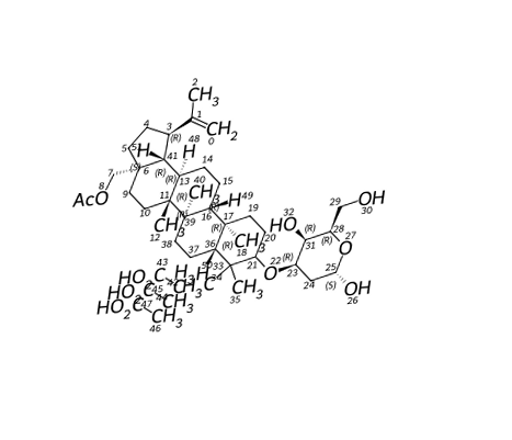 C=C(C)[C@@H]1CC[C@]2(COC(C)=O)CC[C@]3(C)[C@H](CC[C@@H]4[C@@]5(C)CCC(O[C@@H]6C[C@@H](O)O[C@H](CO)[C@@H]6O)C(C)(C)[C@@H]5CC[C@]43C)[C@@H]12.CC(=O)O.CC(=O)O.CC(=O)O